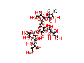 O=CC1CC(O)C(O)[C@@H](OC2C(O)[C@H](O)C(CO)O[C@@H]2OCC2O[C@H](OCC3O[C@@H](O)C(O)C(O[C@@H](O)/C=C(\O)[C@H](O)CCO)[C@@H]3O)C(O)C(O[C@@H](O)/C=C(\O)[C@H](O)CCO)[C@@H]2O)O1